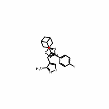 Cc1nocc1CC(=O)N1CC2CC(C1)C2c1nc(-c2ccc(F)cc2)no1